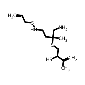 C=CCSNCCC(C)(CN)SCC(S)C(=C)C